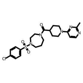 Cc1nccc(N2CCC(C(=O)N3CCCN(S(=O)(=O)c4ccc(Cl)cc4)CC3)CC2)n1